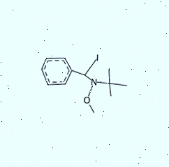 CON(C(I)c1ccccc1)C(C)(C)C